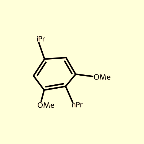 CCCc1c(OC)cc(C(C)C)cc1OC